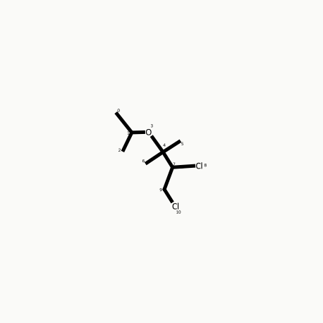 CC(C)OC(C)(C)C(Cl)CCl